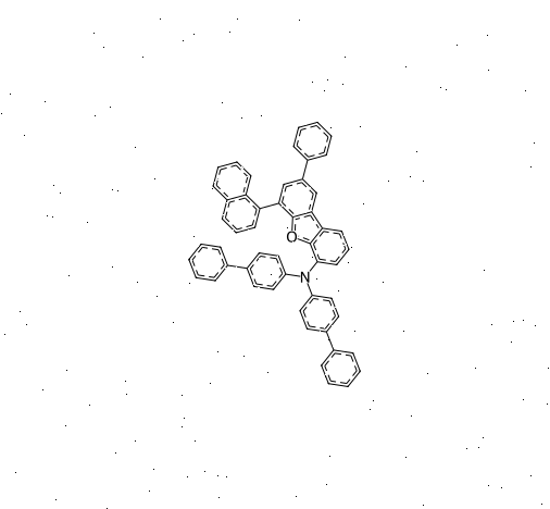 c1ccc(-c2ccc(N(c3ccc(-c4ccccc4)cc3)c3cccc4c3oc3c(-c5cccc6ccccc56)cc(-c5ccccc5)cc34)cc2)cc1